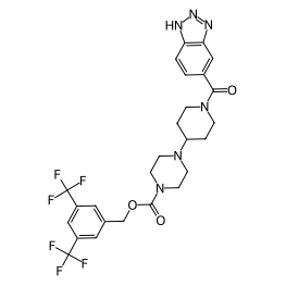 O=C(OCc1cc(C(F)(F)F)cc(C(F)(F)F)c1)N1CCN(C2CCN(C(=O)c3ccc4[nH]nnc4c3)CC2)CC1